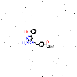 COC(=O)c1ccc(CCNc2cc(-c3ccccc3O)nnc2N)cc1